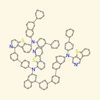 c1ccc(-c2ccc(N(c3ccc4ccc(-c5cccc(-c6cccc(-c7cc(N(c8ccc(-c9cccc(-c%10nccc%11sc%12c(N(c%13ccc(-c%14ccccc%14)cc%13)c%13ccc%14ccc(-c%15ccccc%15)cc%14c%13)cccc%12c%10%11)c9)cc8)c8cccc9c8sc8ncccc89)cc8ccccc78)c6)c5)cc4c3)c3cncc4c3sc3ccccc34)cc2)cc1